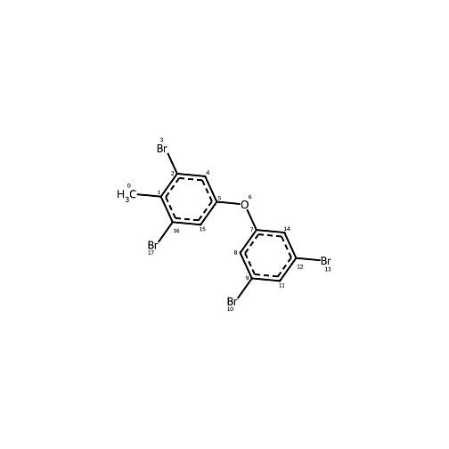 Cc1c(Br)cc(Oc2cc(Br)cc(Br)c2)cc1Br